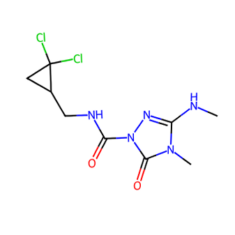 CNc1nn(C(=O)NCC2CC2(Cl)Cl)c(=O)n1C